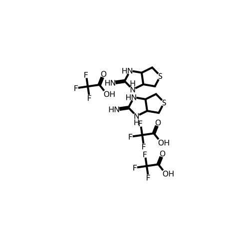 N=C1NC2CSCC2N1.N=C1NC2CSCC2N1.O=C(O)C(F)(F)F.O=C(O)C(F)(F)F.O=C(O)C(F)(F)F